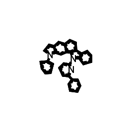 c1ccc(-c2cccc(-n3c4ccccc4c4ccc5cc6ccn(-c7ccccc7)c6cc5c43)n2)cc1